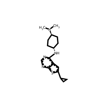 CN(C)[C@H]1CC[C@H](Nc2ncnc3sc(C4CC4)cc23)CC1